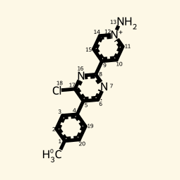 Cc1ccc(-c2[c]nc(-c3cc[n+](N)cc3)nc2Cl)cc1